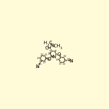 CN(C)C(=O)c1cc(Oc2cccc(C#N)c2)nc(Oc2cccc(C#N)c2)c1